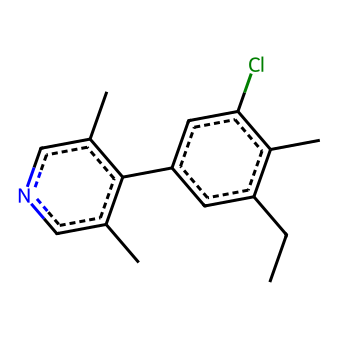 CCc1cc(-c2c(C)cncc2C)cc(Cl)c1C